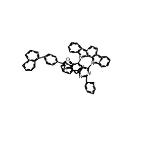 c1ccc(-c2nc(-c3ccccc3)nc(-n3c4ccccc4c4ccc5c6ccccc6n(-c6cccc7nc(-c8ccc(-c9cccc%10ccccc9%10)cc8)oc67)c5c43)n2)cc1